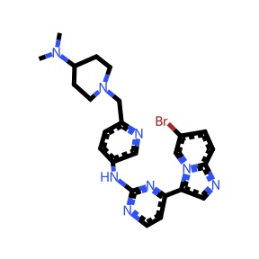 CN(C)C1CCN(Cc2ccc(Nc3nccc(-c4cnc5ccc(Br)cn45)n3)cn2)CC1